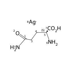 NC(=O)CC[C@H](N)C(=O)O.[Ag]